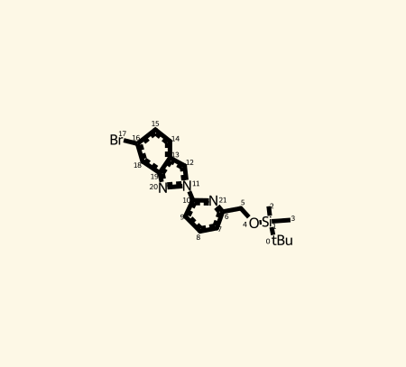 CC(C)(C)[Si](C)(C)OCc1cccc(-n2cc3ccc(Br)cc3n2)n1